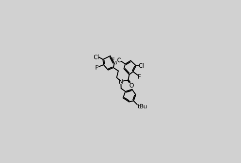 CC(C)(C)c1ccc(CN(CCc2ccc(Cl)c(F)c2)C(=O)c2cc(C(F)(F)F)cc(Cl)c2F)cc1